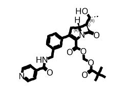 C[C@@H](O)[C@H]1C(=O)N2C(C(=O)OCOC(=O)C(C)(C)C)=C(c3cccc(CNC(=O)c4ccncc4)c3)C[C@H]12